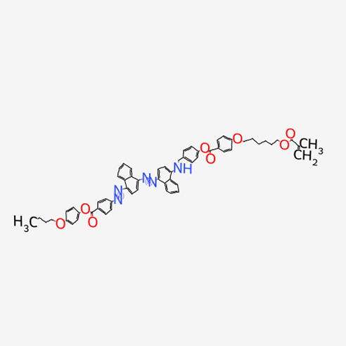 C=C(C)C(=O)OCCCCCCOc1ccc(C(=O)Oc2ccc(CNc3ccc(/N=N/c4ccc(/N=N/c5ccc(C(=O)Oc6ccc(OCCCC)cc6)cc5)c5ccccc45)c4ccccc34)cc2)cc1